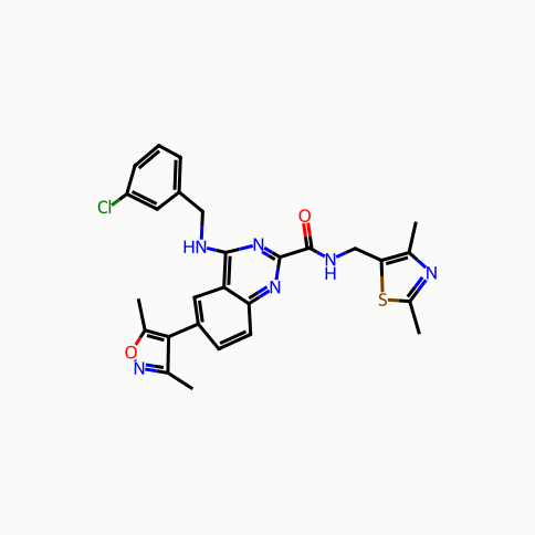 Cc1nc(C)c(CNC(=O)c2nc(NCc3cccc(Cl)c3)c3cc(-c4c(C)noc4C)ccc3n2)s1